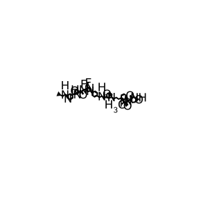 Cn1c(=O)n(C2CCC(=O)NC2=O)c2cccc(CCCN3CCO[C@H](CNCc4ccc(-n5cc(NC(=O)c6coc(-c7ccnc(NCC8CC8)c7)n6)c(C(F)F)n5)cc4)C3)c21